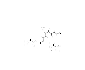 N=C(NN)N(N)N.N=C(NN)N(N)N.O=CC(O)C(O)C(O)C(O)C(OB(O)O)C(O)C(O)C(O)C=O